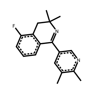 Cc1cc(C2=NC(C)(C)Cc3c(F)cccc32)cnc1C